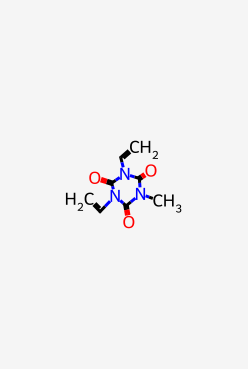 C=Cn1c(=O)n(C)c(=O)n(C=C)c1=O